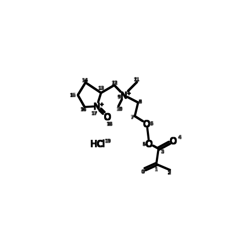 C=C(C)C(=O)OOCC[N+](C)(C)CC1CCC[N+]1=O.Cl